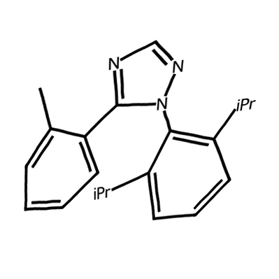 Cc1ccccc1-c1ncnn1-c1c(C(C)C)cccc1C(C)C